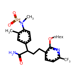 CCCCCCOc1nc(C(F)(F)F)ccc1CCC(C(N)=O)c1ccc(N(C)[SH](=O)=O)c(C)c1